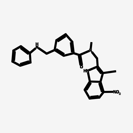 Cc1c(CN(C)C(=O)c2cccc(CNc3ccccc3)c2)[nH]c2cccc([N+](=O)[O-])c12